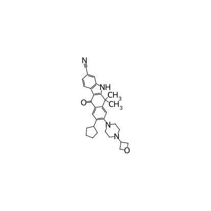 CC1(C)c2cc(N3CCN(C4COC4)CC3)c(C3CCCC3)cc2C(=O)c2c1[nH]c1cc(C#N)ccc21